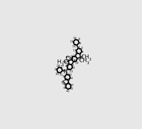 CC1(C)c2ccc(-c3ccccc3)cc2-c2cc3c(cc21)-c1ccc(N(c2ccccc2)c2ccc4c(c2)sc2ccccc24)cc1C3(C)C